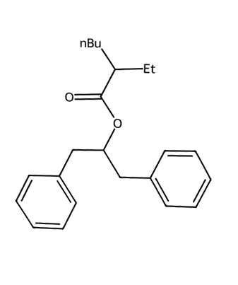 CCCCC(CC)C(=O)OC(Cc1ccccc1)Cc1ccccc1